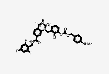 CC(=O)Nc1ccc(COC(=O)Oc2ccc(F)c(CN3C(=O)N(C)[C@@H](C)c4ccc(C(=O)NCc5c(F)cc(F)cc5F)cc43)c2Cl)cc1